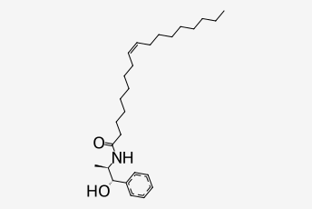 CCCCCCCC/C=C\CCCCCCCC(=O)N[C@H](C)[C@@H](O)c1ccccc1